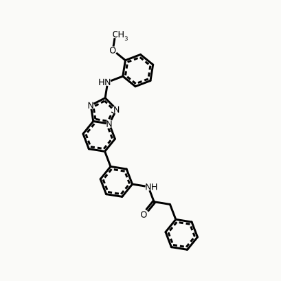 COc1ccccc1Nc1nc2ccc(-c3cccc(NC(=O)Cc4ccccc4)c3)cn2n1